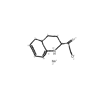 O=C([O-])C1CCC2CC=CC=C2N1.[Na+]